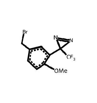 COc1ccc(CBr)cc1C1(C(F)(F)F)N=N1